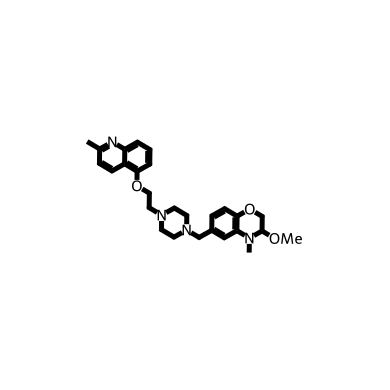 COC1COc2ccc(CN3CCN(CCOc4cccc5nc(C)ccc45)CC3)cc2N1C